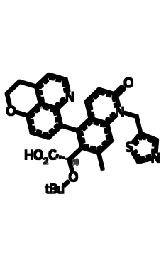 Cc1cc2c(ccc(=O)n2Cc2cncs2)c(-c2ccc3c4c(ccnc24)CCO3)c1[C@H](OC(C)(C)C)C(=O)O